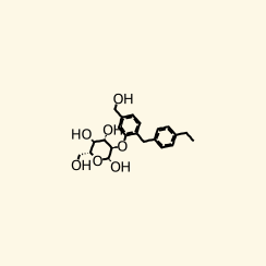 CCc1ccc(Cc2ccc(CO)cc2O[C@@H]2[C@@H](O)[C@H](O)[C@@H](CO)O[C@H]2O)cc1